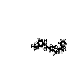 C[C@@H](NC(=O)c1cnn2ccccc12)c1cc(C(=O)Nc2cccc(OC(F)(F)F)c2)on1